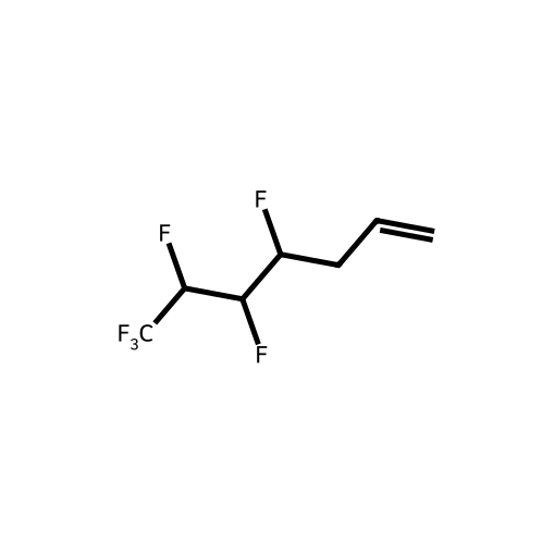 C=CCC(F)C(F)C(F)C(F)(F)F